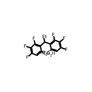 CCC(c1c(C(=O)O)cc(F)c(F)c1F)c1c(C(=O)O)cc(F)c(F)c1F